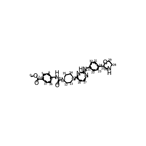 COC(=O)c1ccc(NC(=O)N2CCN(c3ccnc(Nc4ccc(C5CNCCO5)cc4)n3)CC2)cc1